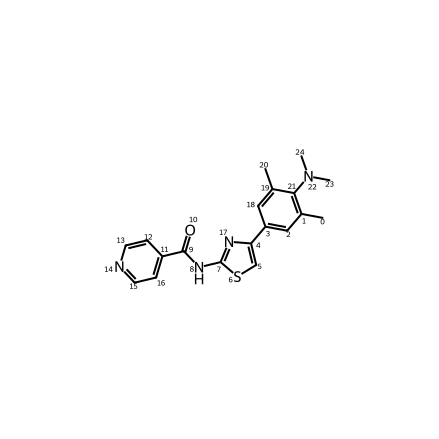 Cc1cc(-c2csc(NC(=O)c3ccncc3)n2)cc(C)c1N(C)C